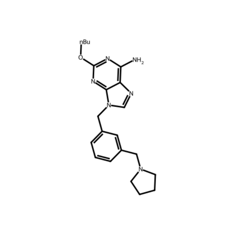 CCCCOc1nc(N)c2ncn(Cc3cccc(CN4CCCC4)c3)c2n1